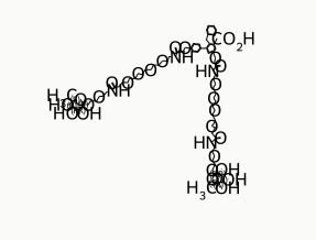 C[C@@H]1O[C@@H](OCCOCCNC(=O)CCOCCOCCOCCOCCNC(=O)COc2ccc(-c3cc(OCC(=O)NCCOCCOCCOCCOCCC(=O)NCCOCCO[C@@H]4O[C@@H](C)[C@H](O)[C@@H](O)[C@H]4O)cc(C(=O)O)c3Cc3ccccc3)cc2)[C@H](O)[C@H](O)[C@H]1O